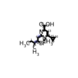 CC/C(C)=C(Br)\C=C1\N=C(C(=O)O)C=C(C2CC2)N1C